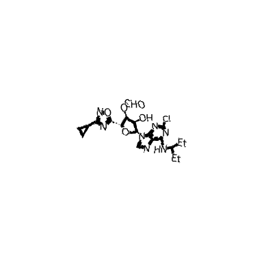 CCC(CC)Nc1nc(Cl)nc2c1ncn2[C@@H]1O[C@H](c2nc(C3CC3)no2)[C@@H](OC=O)[C@H]1O